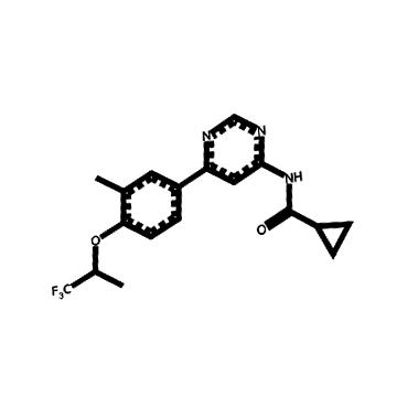 Cc1cc(-c2cc(NC(=O)C3CC3)ncn2)ccc1OC(C)C(F)(F)F